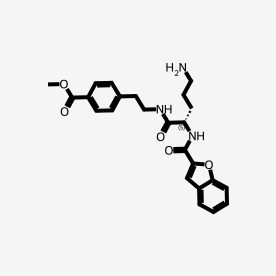 COC(=O)c1ccc(CCNC(=O)[C@H](CCCN)NC(=O)c2cc3ccccc3o2)cc1